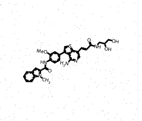 COc1cc(-c2csc3c(C=CC(=O)NCC(O)CO)cnc(N)c23)ccc1NC(=O)c1cc2ccccc2n1C